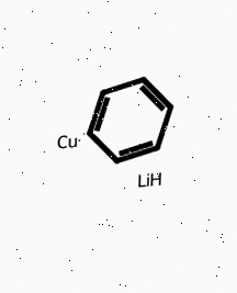 [Cu].[LiH].[c]1ccccc1